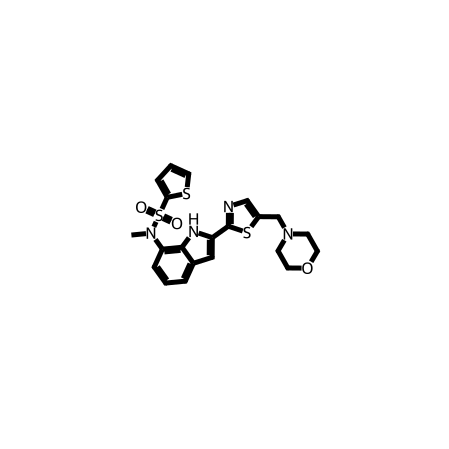 CN(c1cccc2cc(-c3ncc(CN4CCOCC4)s3)[nH]c12)S(=O)(=O)c1cccs1